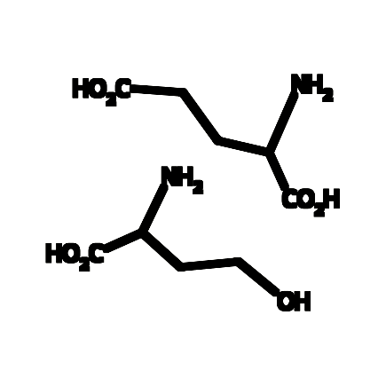 NC(CCC(=O)O)C(=O)O.NC(CCO)C(=O)O